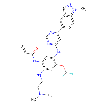 C=CC(=O)Nc1cc(Nc2cc(-c3ccc4c(cnn4C)c3)ncn2)c(OC(F)F)cc1NCCN(C)C